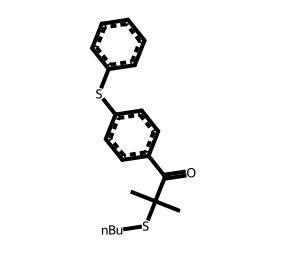 CCCCSC(C)(C)C(=O)c1ccc(Sc2ccccc2)cc1